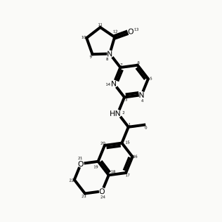 CC(Nc1nccc(N2CCCC2=O)n1)c1ccc2c(c1)OCCO2